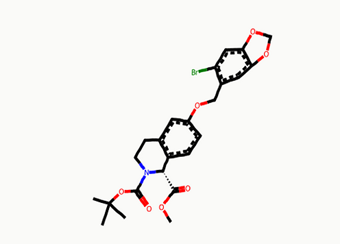 COC(=O)[C@H]1c2ccc(OCc3cc4c(cc3Br)OCO4)cc2CCN1C(=O)OC(C)(C)C